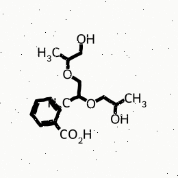 CC(O)COC(C)COC(C)CO.O=C(O)c1ccccc1